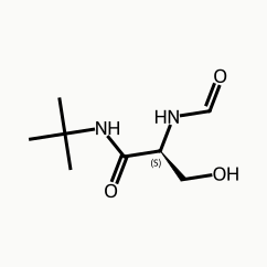 CC(C)(C)NC(=O)[C@H](CO)NC=O